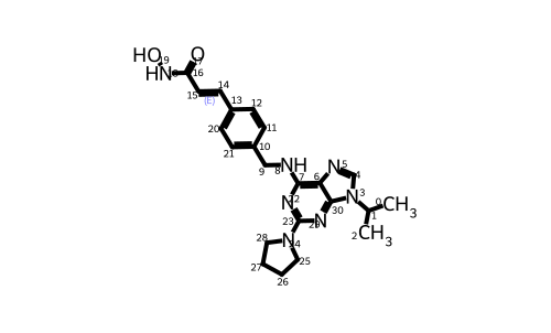 CC(C)n1cnc2c(NCc3ccc(/C=C/C(=O)NO)cc3)nc(N3CCCC3)nc21